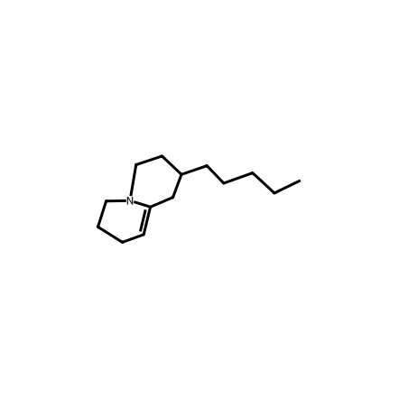 CCCCCC1CCN2CCCC=C2C1